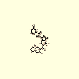 C[C@H]1CN2CCC[C@H]2CN1C(=O)N1Cc2c(NC(=O)c3cc(Cl)ccn3)n[nH]c2C1(C)C